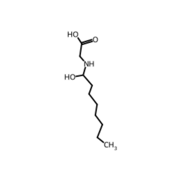 CCCCCCCC(O)NCC(=O)O